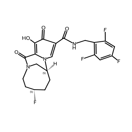 O=C(NCc1c(F)cc(F)cc1F)c1cn2c(c(O)c1=O)C(=O)N1CC[C@@H](F)CC[C@H]2C1